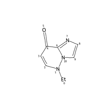 CCn1ccc(=O)c2nccn21